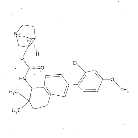 COc1ccc(-c2ccc3c(c2)CCC(C)(C)C3NC(=O)O[C@H]2CN3CCC2CC3)c(Cl)c1